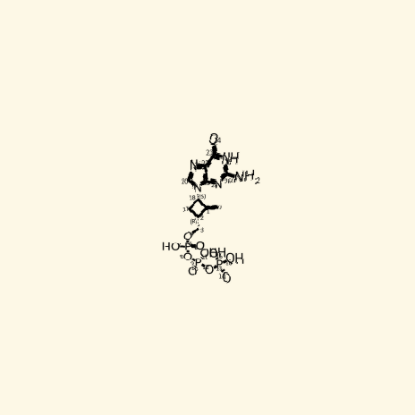 C=C1[C@H](COP(=O)(O)OP(=O)(O)OP(=O)(O)O)C[C@@H]1n1cnc2c(=O)[nH]c(N)nc21